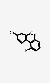 Cc1cccc(F)c1C1=C(O)CC(Cl)C=C1